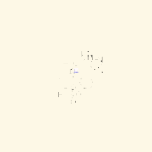 CO/N=C1\c2cc(OS(=O)(=O)C(F)(F)F)ccc2-c2ncnc(N)c2C1(C)C